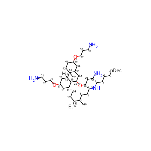 CCCCCCCCCCCCCCNCCC[C@@H](C)C(CC)CC[C@@H]1C[C@@H](OCCCN)C[C@H]2C1[C@H](OCCCN)CC1C[C@H](OCCCN)CCC12C